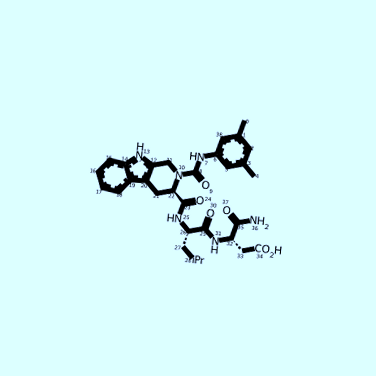 Cc1cc(C)cc(NC(=O)N2Cc3[nH]c4ccccc4c3C[C@@H]2C(=O)N[C@@H](CC(C)C)C(=O)N[C@@H](CC(=O)O)C(N)=O)c1